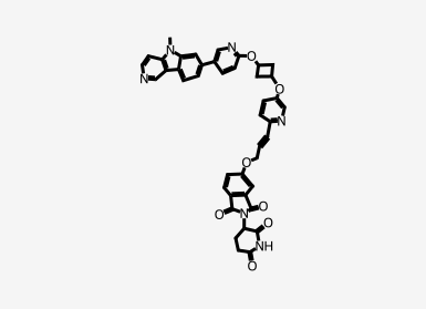 Cn1c2ccncc2c2ccc(-c3ccc(OC4CC(Oc5ccc(C#CCOc6ccc7c(c6)C(=O)N(C6CCC(=O)NC6=O)C7=O)nc5)C4)nc3)cc21